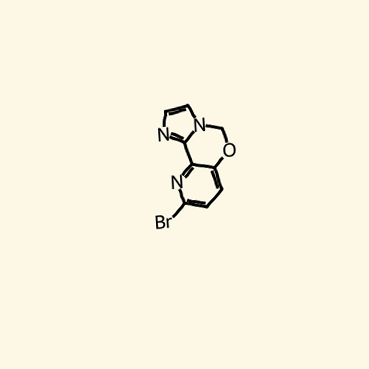 Brc1ccc2c(n1)-c1nccn1CO2